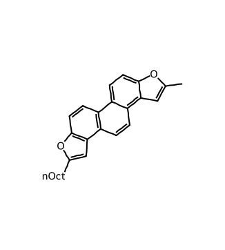 CCCCCCCCc1cc2c(ccc3c2ccc2c4cc(C)oc4ccc23)o1